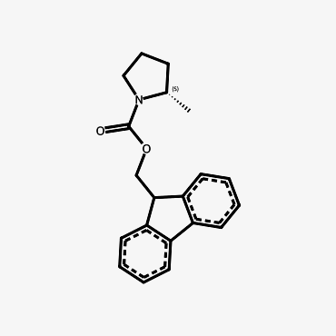 C[C@H]1CCCN1C(=O)OCC1c2ccccc2-c2ccccc21